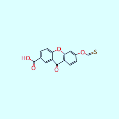 O=C(O)c1ccc2oc3cc(OC=S)ccc3c(=O)c2c1